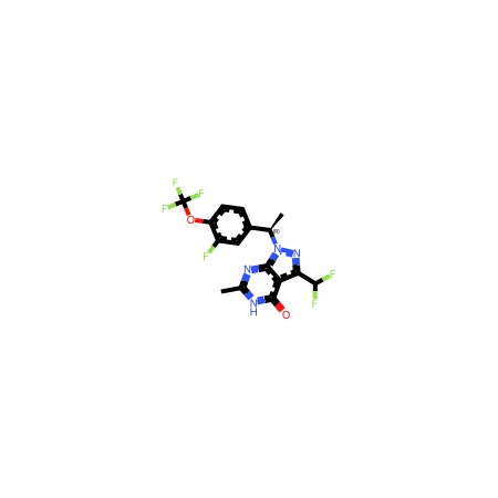 Cc1nc2c(c(C(F)F)nn2[C@H](C)c2ccc(OC(F)(F)F)c(F)c2)c(=O)[nH]1